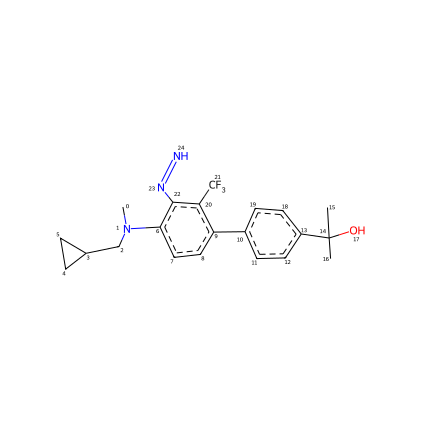 CN(CC1CC1)c1ccc(-c2ccc(C(C)(C)O)cc2)c(C(F)(F)F)c1N=N